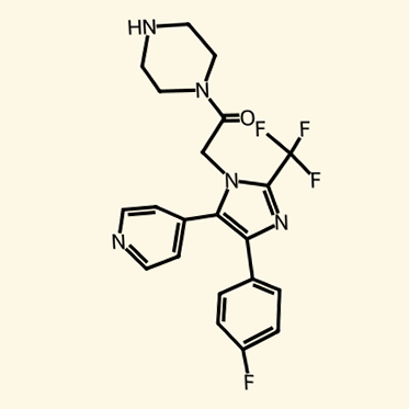 O=C(Cn1c(C(F)(F)F)nc(-c2ccc(F)cc2)c1-c1ccncc1)N1CCNCC1